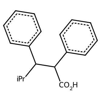 CC(C)C(c1ccccc1)C(C(=O)O)c1ccccc1